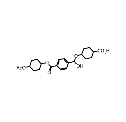 CC(=O)OC1CCC(OC(=O)c2ccc(C(O)OC3CCC(C(=O)O)CC3)cc2)CC1